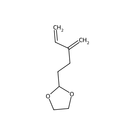 C=CC(=C)CCC1OCCO1